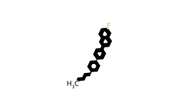 CCCCC[C@H]1CC[C@H](c2ccc(-c3ccc4cc(F)ccc4c3)cc2)CC1